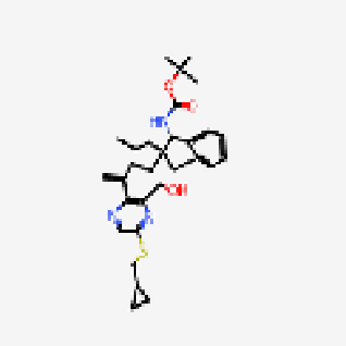 C=C(CCC1(CCC)Cc2ccccc2[C@H]1NC(=O)OC(C)(C)C)c1ncc(SCC2CC2)nc1CO